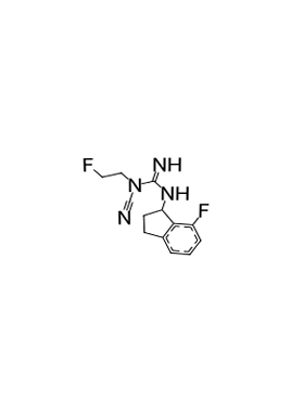 N#CN(CCF)C(=N)NC1CCc2cccc(F)c21